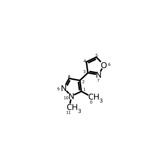 Cc1c(-c2ccon2)cnn1C